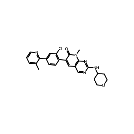 Cc1cccnc1-c1ccc(-c2cc3cnc(NC4CCOCC4)nc3n(C)c2=O)c(Cl)c1